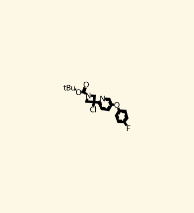 CC(C)(C)OC(=O)N1CC(Cl)(c2ccc(Oc3ccc(F)cc3)cn2)C1